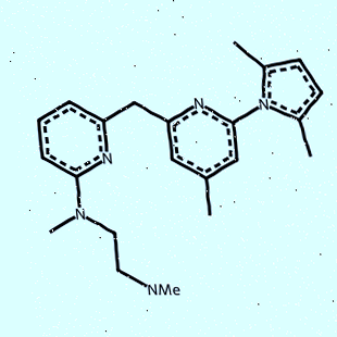 CNCCN(C)c1cccc(Cc2cc(C)cc(-n3c(C)ccc3C)n2)n1